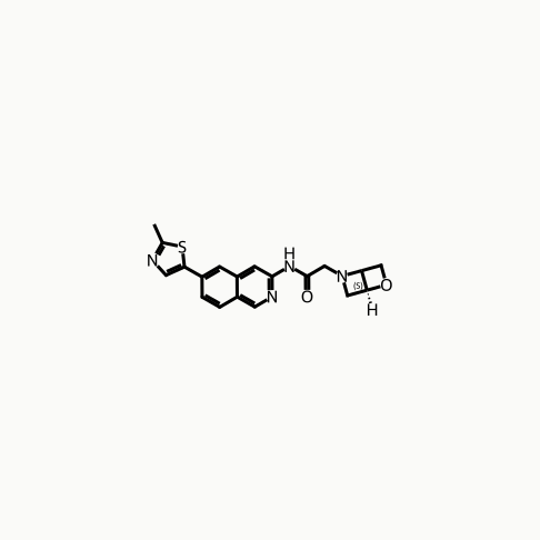 Cc1ncc(-c2ccc3cnc(NC(=O)CN4C[C@@H]5OCC54)cc3c2)s1